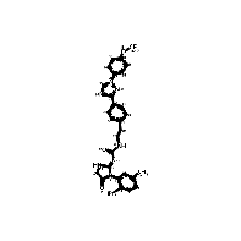 Cc1ccc(C(C)C)c(N2C(=O)CN/C2=N\C(=O)NCCc2ccc(-c3ncn(-c4ccc(OC(F)(F)F)cc4)n3)cc2)c1